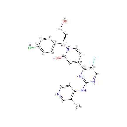 Cc1cnccc1Nc1ncc(F)c(-c2ccn([C@H](CCO)c3ccc(Cl)cc3)c(=O)c2)n1